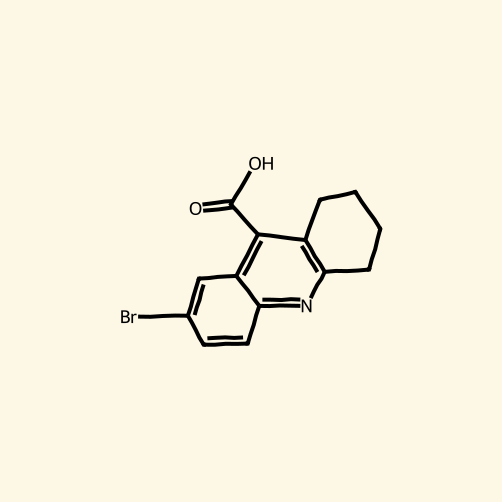 O=C(O)c1c2c(nc3ccc(Br)cc13)CCCC2